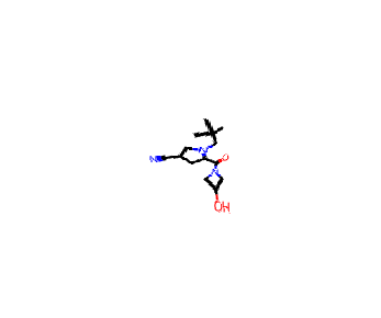 CC(C)(C)CN1CC(C#N)CC1C(=O)N1CC(O)C1